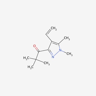 C=Cc1c(C(=O)C(C)(C)C)nn(C)c1C